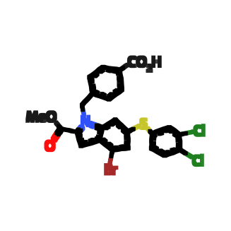 COC(=O)c1cc2c(Br)cc(Sc3ccc(Cl)c(Cl)c3)cc2n1Cc1ccc(C(=O)O)cc1